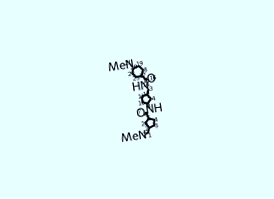 CNCC1CCC(C(=O)NC2CCC(CNC(=O)C3CCC(NC)CC3)C2)C1